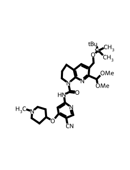 COC(OC)c1nc2c(cc1CO[Si](C)(C)C(C)(C)C)CCCN2C(=O)Nc1cc(OC2CCN(C)CC2)c(C#N)cn1